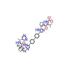 COC(=O)N[C@H](C(=O)N1CCC[C@H]1c1ncc(-c2ccc(-c3ccc(-c4cnc([C@@H]5[C@H]6CC[C@H](C6)[C@H]5C(=O)NC(C)c5cncnc5)[nH]4)cc3)cc2)[nH]1)C(C)C